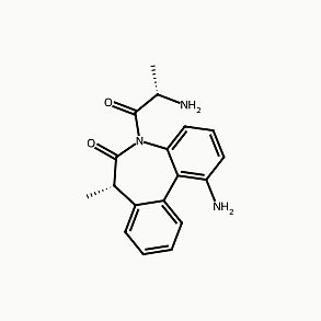 C[C@H](N)C(=O)N1C(=O)[C@@H](C)c2ccccc2-c2c(N)cccc21